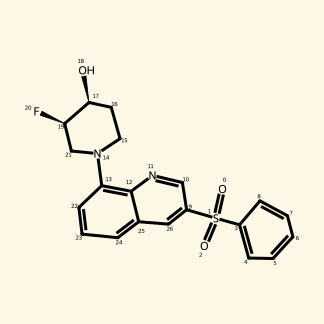 O=S(=O)(c1ccccc1)c1cnc2c(N3CC[C@H](O)[C@H](F)C3)cccc2c1